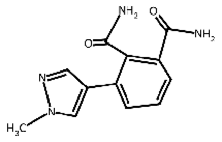 Cn1cc(-c2cccc(C(N)=O)c2C(N)=O)cn1